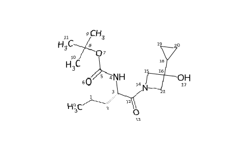 CCC[C@H](NC(=O)OC(C)(C)C)C(=O)N1CC(O)(C2CC2)C1